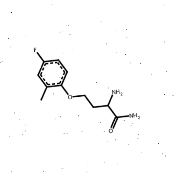 Cc1cc(F)ccc1OCCC(N)C(N)=O